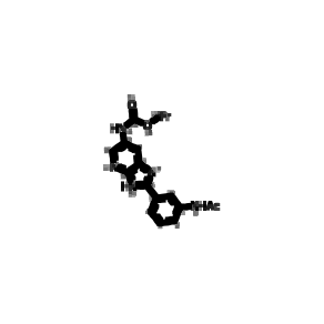 CC(=O)Nc1cccc(-c2nc3cc(NC(=O)OC(C)C)cnc3[nH]2)c1